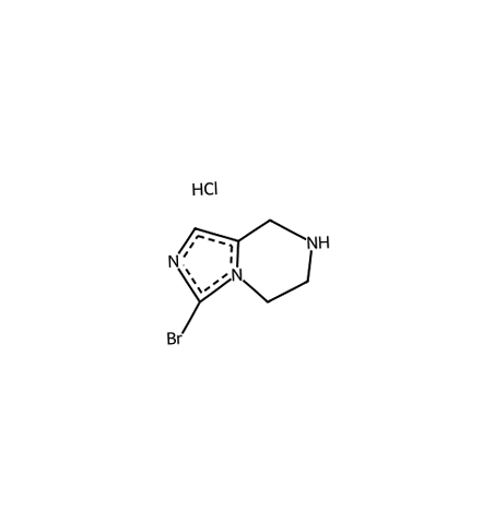 Brc1ncc2n1CCNC2.Cl